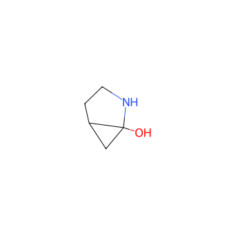 OC12CC1CCN2